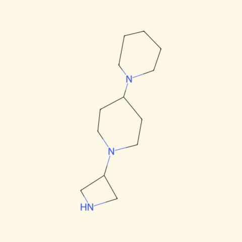 C1CCN(C2CCN(C3CNC3)CC2)CC1